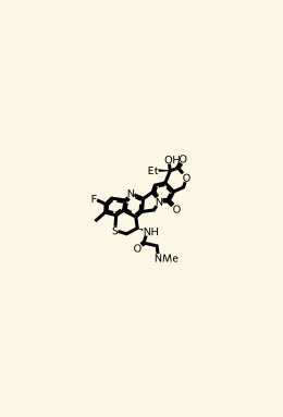 CC[C@@]1(O)C(=O)OCc2c1cc1n(c2=O)Cc2c-1nc1cc(F)c(C)c3c1c2[C@H](NC(=O)CNC)CS3